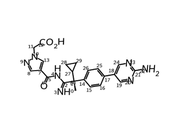 C[C@](C(=N)NC(=O)c1cnn(CC(=O)O)c1)(c1ccc(-c2cnc(N)nc2)cc1)C1CC1